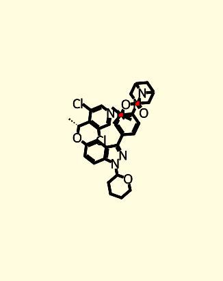 C[C@@H](Oc1ccc2c(c1)c(-c1ccc(N3CC4CC(C3)N4C(=O)OC(C)(C)C)nc1)nn2C1CCCCO1)c1c(Cl)cncc1Cl